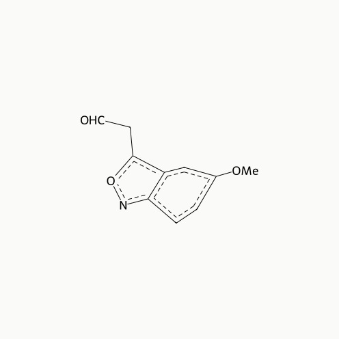 COc1ccc2noc(CC=O)c2c1